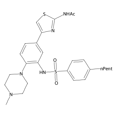 CCCCCc1ccc(S(=O)(=O)Nc2cc(-c3csc(NC(C)=O)n3)ccc2N2CCN(C)CC2)cc1